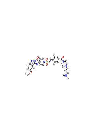 Cc1cc(C(=O)N2CCN(CCCN(C)C)CC2)cc(C)c1/C=C/S(=O)(=O)N1CCC2(CC1)N=C(c1cccc(OC(F)(F)F)c1)NC2=O